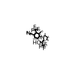 Cc1c(N2CCC[C@@H]2[C@@H](O)C(F)(F)F)ccc(C#N)c1C(F)(F)F